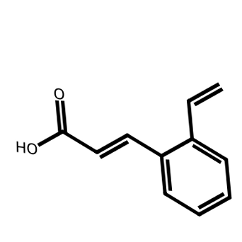 C=Cc1ccccc1C=CC(=O)O